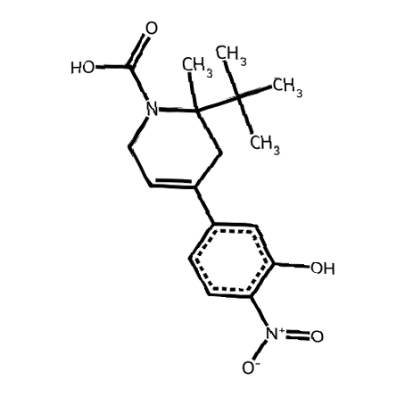 CC(C)(C)C1(C)CC(c2ccc([N+](=O)[O-])c(O)c2)=CCN1C(=O)O